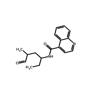 CCC(CC(C)C=O)NC(=O)c1ccnc2ccccc12